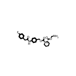 NCOC(=O)[C@@H]1CCCCN1C(=O)OCc1ccc(NC(=O)Cc2ccc(F)cc2)cc1